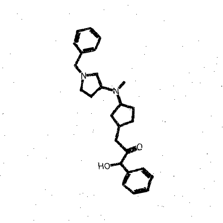 CN(C1CCC(CC(=O)C(O)c2ccccc2)C1)C1CCN(Cc2ccccc2)C1